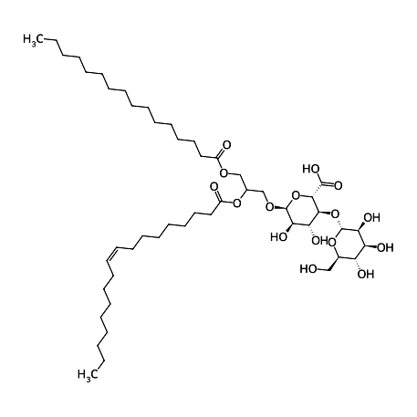 CCCCCCCC/C=C\CCCCCCCC(=O)OC(COC(=O)CCCCCCCCCCCCCCC)CO[C@H]1O[C@H](C(=O)O)[C@@H](O[C@H]2O[C@H](CO)[C@@H](O)[C@H](O)[C@@H]2O)[C@H](O)[C@H]1O